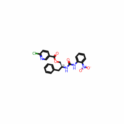 O=C(Nc1ccccc1[N+](=O)[O-])N[C@H](COC(=O)c1ccc(Cl)nc1)Cc1ccccc1